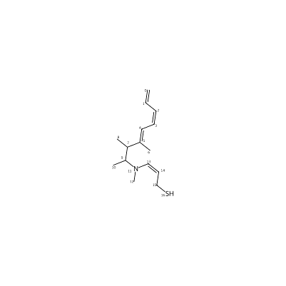 C=C/C=C\C=C(/C)C(C)C(C)N(C)/C=C\CS